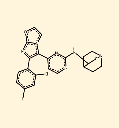 Fc1ccc(-c2nc3occn3c2-c2ccnc(NC3CN4CCC3CC4)n2)c(Cl)c1